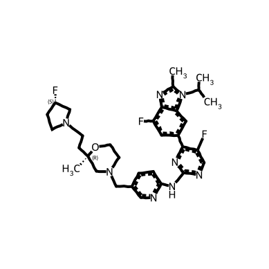 Cc1nc2c(F)cc(-c3nc(Nc4ccc(CN5CCO[C@](C)(CCN6CC[C@H](F)C6)C5)cn4)ncc3F)cc2n1C(C)C